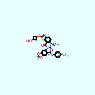 COc1ccc2nc(OC3CC(O)C3)sc2c1C(=O)Nc1cc2c(cc1C(=O)NC13CCC(C(F)(F)F)(CC1)OC3)OC(F)(F)O2